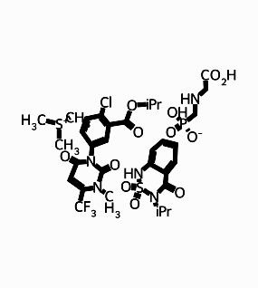 CC(C)N1C(=O)c2ccccc2NS1(=O)=O.CC(C)OC(=O)c1cc(-n2c(=O)cc(C(F)(F)F)n(C)c2=O)ccc1Cl.C[S+](C)C.O=C(O)CNCP(=O)([O-])O